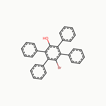 Oc1c(-c2ccccc2)c(-c2ccccc2)c(Br)c(-c2ccccc2)c1-c1ccccc1